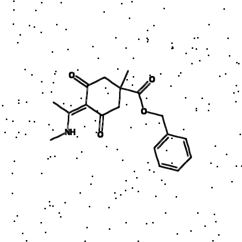 CNC(C)=C1C(=O)CC(C)(C(=O)OCc2ccccc2)CC1=O